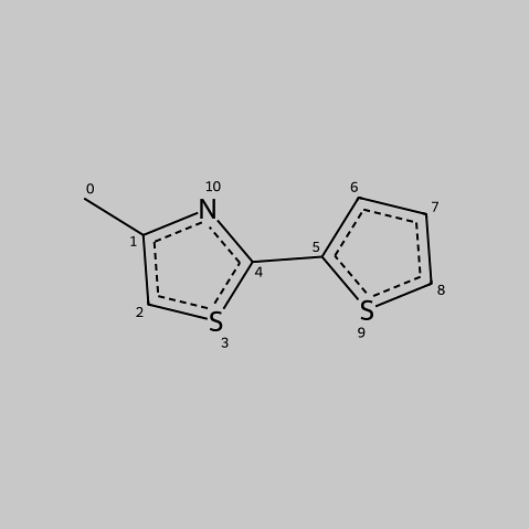 Cc1csc(-c2cccs2)n1